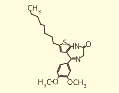 CCCCCCCCc1cc2c(s1)NC(=O)CN=C2c1ccc(OC)c(OC)c1